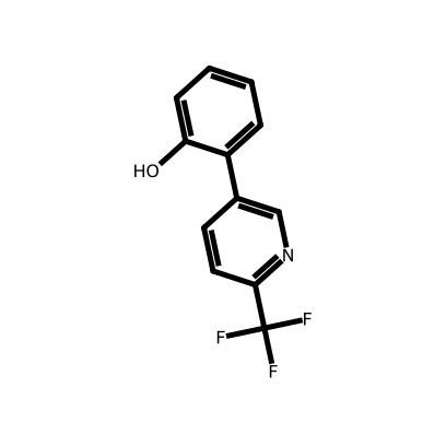 Oc1ccccc1-c1ccc(C(F)(F)F)nc1